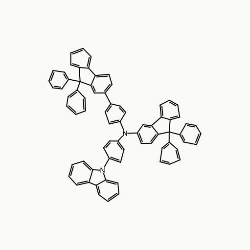 c1ccc(C2(c3ccccc3)c3ccccc3-c3cc(N(c4ccc(-c5ccc6c(c5)C(c5ccccc5)(c5ccccc5)c5ccccc5-6)cc4)c4ccc(-n5c6ccccc6c6ccccc65)cc4)ccc32)cc1